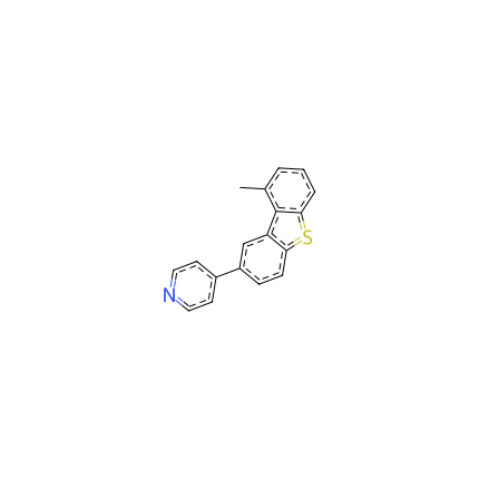 Cc1cccc2sc3ccc(-c4ccncc4)cc3c12